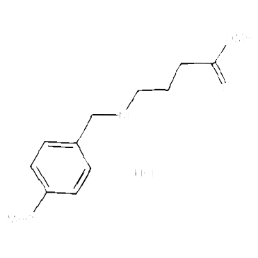 COC(=O)CCCNCc1ccc(OC)cc1.Cl